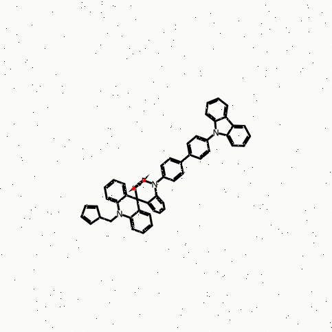 C1=CC(CN2c3ccccc3C3(c4ccccc42)c2ccccc2N(c2ccc(-c4ccc(-n5c6ccccc6c6ccccc65)cc4)cc2)c2ccccc23)C=C1